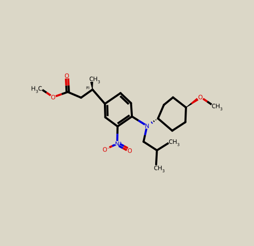 COC(=O)C[C@@H](C)c1ccc(N(CC(C)C)[C@H]2CC[C@H](OC)CC2)c([N+](=O)[O-])c1